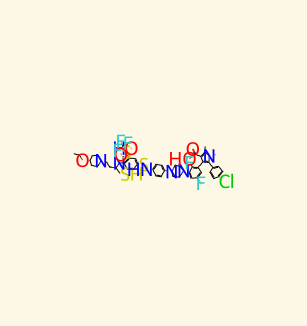 CCOC1CCN(CC[C@H](CS)Nc2ccc(SNc3ccc(N4CCN(c5cc(F)cc(-c6c(C(=O)O)c(C)n(C)c6-c6ccc(Cl)cc6)c5F)CC4)cc3)cc2S(=O)(=O)C(F)(F)F)CC1